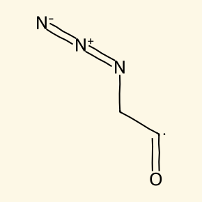 [N-]=[N+]=NC[C]=O